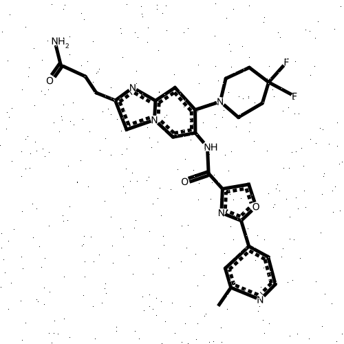 Cc1cc(-c2nc(C(=O)Nc3cn4cc(CCC(N)=O)nc4cc3N3CCC(F)(F)CC3)co2)ccn1